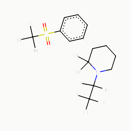 [2H]C1([2H])[C@H](c2cccc(S(=O)(=O)C([2H])([2H])[2H])c2)CCCN1C([2H])([2H])C([2H])([2H])C